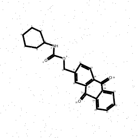 O=C(NC1CCCCC1)OCc1ccc2c(c1)C(=O)c1ccccc1C2=O